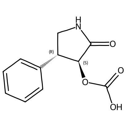 O=C(O)O[C@@H]1C(=O)NC[C@H]1c1ccccc1